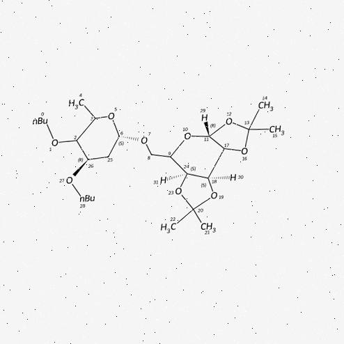 CCCCOC1C(C)O[C@H](OCC2O[C@@H]3OC(C)(C)OC3[C@H]3OC(C)(C)O[C@@H]23)C[C@H]1OCCCC